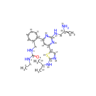 CCNC(=O)NCc1ccccc1-c1cc(-c2cnc(NC(C)C)s2)nc(NC[C@H](C)N)n1